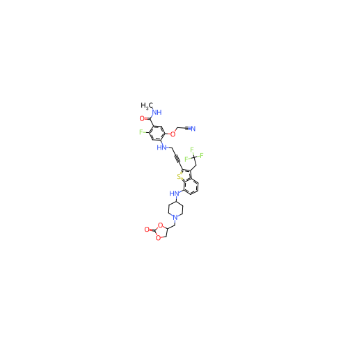 CNC(=O)c1cc(OCC#N)c(NCC#Cc2sc3c(NC4CCN(CC5COC(=O)O5)CC4)cccc3c2CC(F)(F)F)cc1F